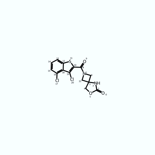 O=C1NC2(CO1)CN(C(=O)c1sc3cccc(Cl)c3c1Cl)C2